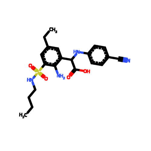 CCCCNS(=O)(=O)c1cc(CC)cc(C(Nc2ccc(C#N)cc2)C(=O)O)c1N